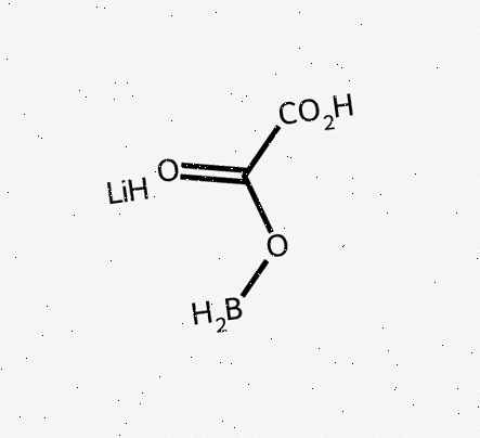 BOC(=O)C(=O)O.[LiH]